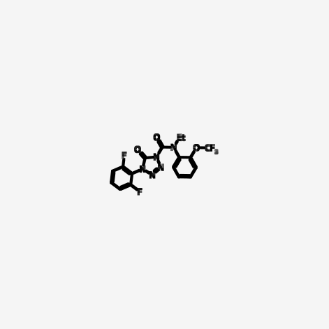 CCN(C(=O)n1nnn(-c2c(F)cccc2F)c1=O)c1ccccc1OC(F)(F)F